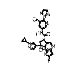 C[C@@]1(c2cnn(C3CC3)c2)C[C@H](C(=O)Nc2cnc(-n3nccn3)c(Cl)c2)c2cnc3cc(F)nn3c21